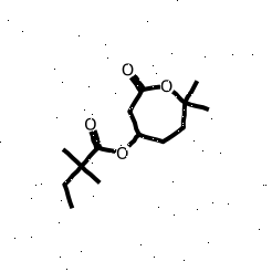 CCC(C)(C)C(=O)OC1CCC(C)(C)OC(=O)C1